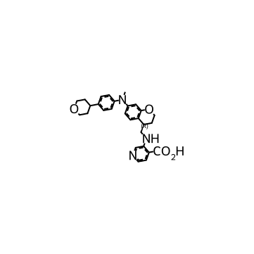 CN(c1ccc(C2CCOCC2)cc1)c1ccc2c(c1)OCC[C@H]2CNc1cnccc1C(=O)O